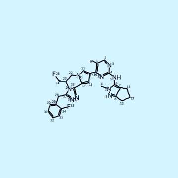 Cc1cnc(Nc2c3c(nn2C)CCC3)nc1-c1cc2n(c1)C[C@H](CF)n1c(Cc3ccccc3F)nnc1-2